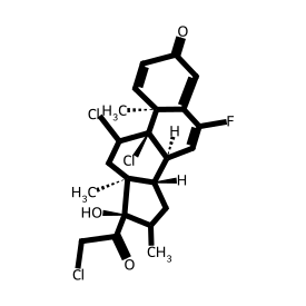 CC1C[C@H]2[C@@H]3C=C(F)C4=CC(=O)C=C[C@]4(C)[C@@]3(Cl)C(Cl)C[C@]2(C)[C@@]1(O)C(=O)CCl